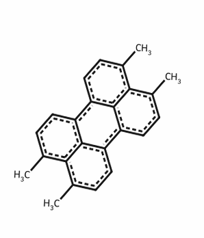 Cc1ccc2c3ccc(C)c4c(C)ccc(c5ccc(C)c1c25)c43